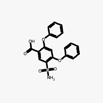 NS(=O)(=O)c1cc(C(=O)O)c(Oc2ccccc2)cc1Oc1ccccc1